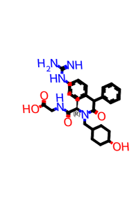 N=C(N)NCCC[C@H](C(=O)NCC(=O)O)N(CC1CCC(O)CC1)C(=O)C(c1ccccc1)c1ccccc1